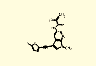 C=C(F)C(=O)Nc1cnc2c(c1)c(C#Cc1ccc(F)s1)cn2C